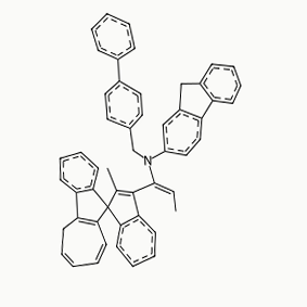 C/C=C(\C1=C(C)C2(C3=C(CC=CC=C3)c3ccccc32)c2ccccc21)N(Cc1ccc(-c2ccccc2)cc1)c1ccc2c(c1)Cc1ccccc1-2